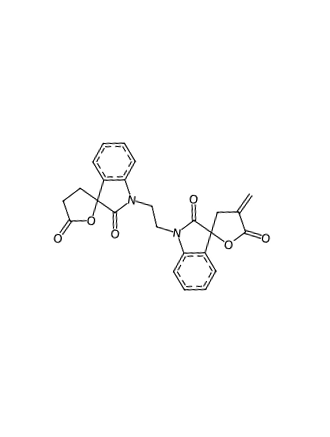 C=C1CC2(OC1=O)C(=O)N(CCN1C(=O)C3(CCC(=O)O3)c3ccccc31)c1ccccc12